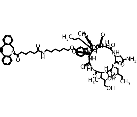 CC[C@@H](O)CN1C(=O)N[C@@H]([C@@H](C)[C@@H](O)CO)C(=O)N[C@@H]2Cc3c([nH]c4cc(OCCCCCCNC(=O)CCCCC(=O)N5Cc6ccccc6C#Cc6ccccc65)ccc34)SC[C@H](NC(=O)CNC(=O)[C@H]([C@@H](C)CC)NC(=O)CNC2=O)C(=O)N[C@@H](CC(N)=O)C1=O